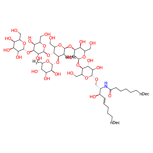 CCCCCCCCCCCCC/C=C/[C@@H](O)[C@H](CO[C@@H]1OC(CO)[C@@H](O[C@@H]2OC(CO)[C@H](O)[C@H](O[C@@H]3OC(CO)[C@@H](O[C@@H]4OC(CO)[C@H](O)[C@H](O[C@H]5OC(CO)[C@H](O)[C@H](O)C5O)C4O)[C@H](O[C@H]4OC(C)[C@@H](O)C(O)[C@@H]4O)C3NC(C)=O)C2O)[C@H](O)C1O)NC(=O)CCCCCCCCCCCCCCC